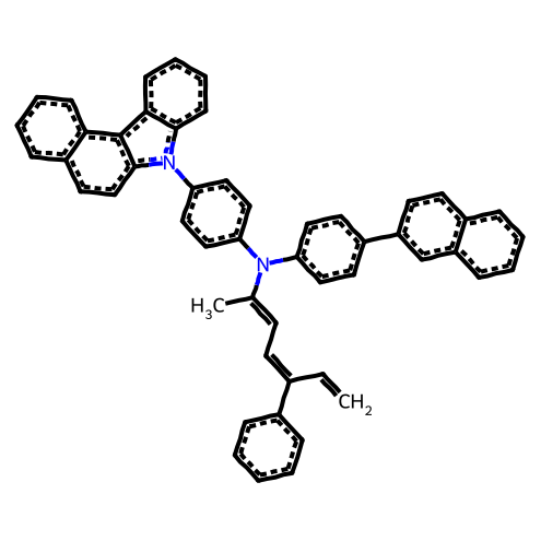 C=C/C(=C\C=C(/C)N(c1ccc(-c2ccc3ccccc3c2)cc1)c1ccc(-n2c3ccccc3c3c4ccccc4ccc32)cc1)c1ccccc1